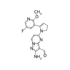 COc1ncc(F)cc1C1=CCCN1c1ccn2nc(N)c(C=O)c2n1